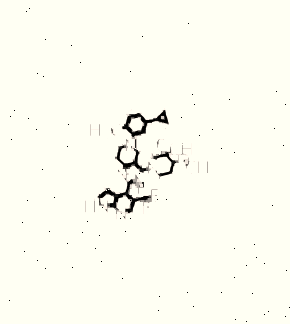 COC1CCN(c2nc(-c3c(C(F)(F)F)cnc4[nH]ccc34)nc3c2CN(c2cc(C4CC4)ccc2C)CC3)CC1(C)C